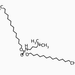 CCCCCCCCCCCCCCOP(=O)(NCCCN(C)C)OCCCCCCCCCCCCCC